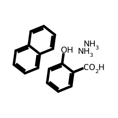 N.N.O=C(O)c1ccccc1O.c1ccc2ccccc2c1